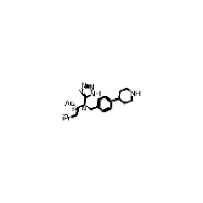 CC(=O)[C@@H](CC(C)C)[C@H](Cc1ccc(C2CCNCC2)cc1)c1nnn[nH]1